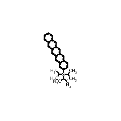 CC(C)[Si](c1ccc2cc3cc4cc5ccccc5cc4cc3cc2c1)(C(C)C)C(C)C